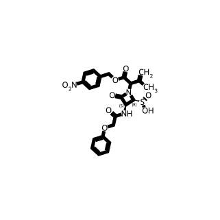 C=C(C)C(C(=O)OCc1ccc([N+](=O)[O-])cc1)N1C(=O)[C@H](NC(=O)COc2ccccc2)[C@H]1S(=O)O